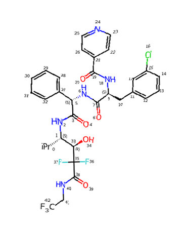 CC(C)[C@H](NC(=O)[C@@H](NC(=O)[C@H](Cc1cccc(Cl)c1)NC(=O)c1ccncc1)c1ccccc1)[C@@H](O)C(F)(F)C(=O)NCC(F)(F)F